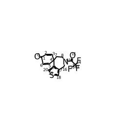 O=C1C=CC2(C=C1)CCN(C(=O)C(F)(F)F)Cc1cscc12